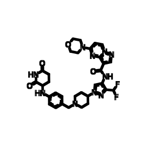 O=C1CCC(Nc2ccc(CN3CCC(n4cc(NC(=O)c5cnn6ccc(N7CCOCC7)nc56)c(C(F)F)n4)CC3)cc2)C(=O)N1